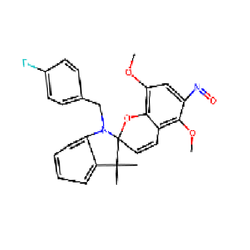 COc1cc(N=O)c(OC)c2c1OC1(C=C2)N(Cc2ccc(F)cc2)c2ccccc2C1(C)C